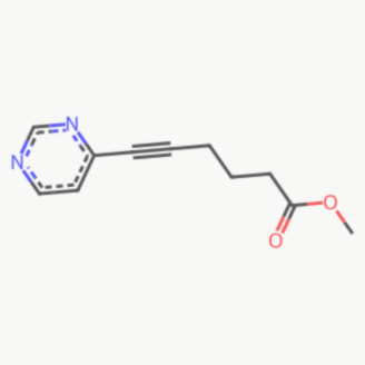 COC(=O)CCCC#Cc1ccncn1